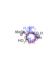 C=C1C(=O)N[C@H](C)C(=O)N[C@@H](C[C@@H](C)CC)C(=O)N[C@@H](C(=O)O)[C@H](C)C(=O)N[C@@H](CCCN=C(N)N)C(=O)N[C@@H](/C=C/C(C)=C/[C@H](C)[C@H](Cc2ccccc2)OC)[C@H](C)C(=O)N[C@@H](C(=O)O)CCC(=O)N1C